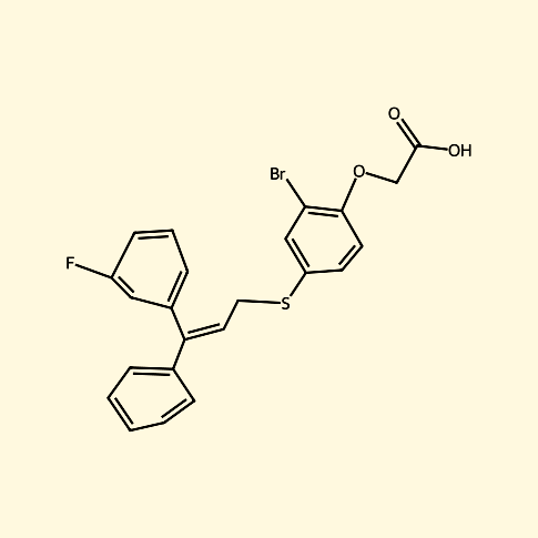 O=C(O)COc1ccc(SC/C=C(/c2ccccc2)c2cccc(F)c2)cc1Br